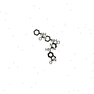 O=C1N=Cc2cc(Nc3ncc(Cl)c(NC4CCN(C(=O)NC5CCCCC5)CC4)n3)ccc21